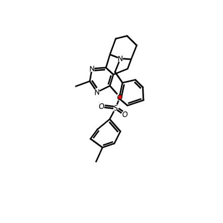 Cc1ccc(S(=O)(=O)Oc2nc(C)nc3c2CC2CCCC3N2Cc2ccccc2)cc1